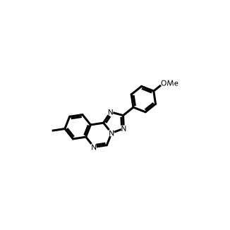 COc1ccc(-c2nc3c4ccc(C)cc4ncn3n2)cc1